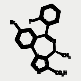 C[C@H]1N=C(c2ccccc2F)c2cc(Br)ccc2-n2cnc(C(=O)O)c21